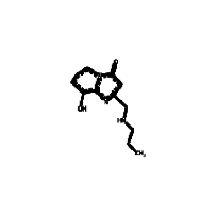 CCCNCc1cc(=O)n2cccc(O)c2n1